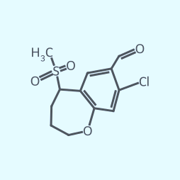 CS(=O)(=O)C1CCCOc2cc(Cl)c(C=O)cc21